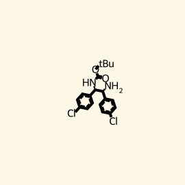 CC(C)(C)OC(=O)N[C@H](c1ccc(Cl)cc1)[C@@H](N)c1ccc(Cl)cc1